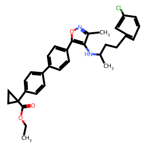 CCOC(=O)C1(c2ccc(-c3ccc(-c4onc(C)c4NC(C)CCc4cccc(Cl)c4)cc3)cc2)CC1